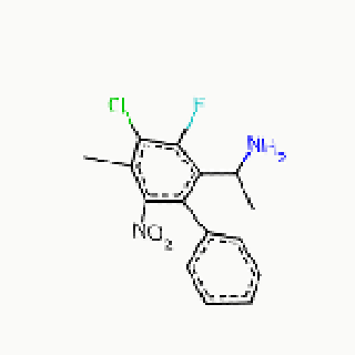 Cc1c(Cl)c(F)c(C(C)N)c(-c2ccccc2)c1[N+](=O)[O-]